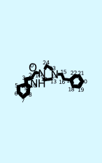 O=C(c1cc2ccccc2[nH]1)N1CCN(CCc2ccccc2)CC1